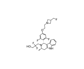 C[C@@H]1Cc2[nH]c3ccccc3c2[C@@H](c2c(F)cc(OCCN3CC(CF)C3)cc2F)N1CC(F)(F)CO